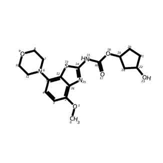 COc1ccc(N2CCOCC2)c2sc(NC(=O)OC3CCC(O)C3)nc12